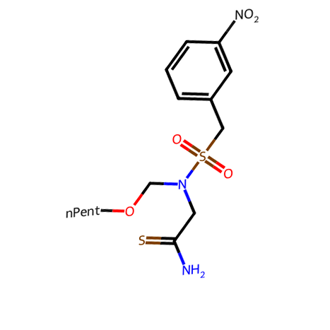 CCCCCOCN(CC(N)=S)S(=O)(=O)Cc1cccc([N+](=O)[O-])c1